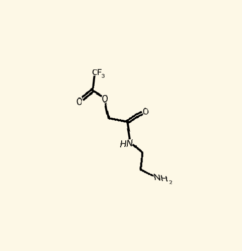 NCCNC(=O)COC(=O)C(F)(F)F